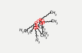 CCCCCCCCCC(OCOCOC(CCCCCCCCC)OC(CCCCCC)(OCCCCCCC)OCCCCCCC)OC(CCCCCC)(OCCCCCCC)OCCCCCCC